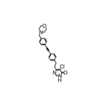 O=c1[nH]cnc(CCc2ccc(C#Cc3ccc(CN4CCOCC4)cc3)cc2)c1Cl